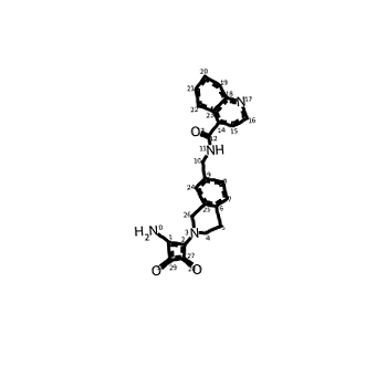 Nc1c(N2CCc3ccc(CNC(=O)c4ccnc5ccccc45)cc3C2)c(=O)c1=O